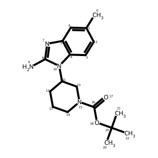 Cc1ccc2c(c1)nc(N)n2C1CCCN(C(=O)OC(C)(C)C)C1